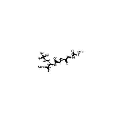 [2H]C([2H])([2H])SC[C@H](NC(=O)CNC(=O)CNC(=O)OC(C)(C)C)C(=O)OC